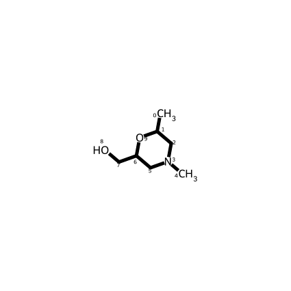 CC1CN(C)CC(CO)O1